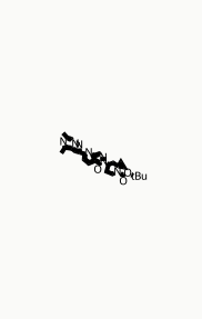 Cc1cn2nc(-c3ccc4c(=O)n(C5CCN(C(=O)OC(C)(C)C)C6(CC6)C5)ncc4n3)cc2c(C)n1